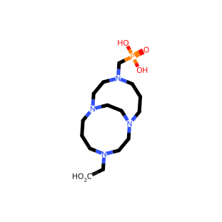 O=C(O)CN1CCCN2CCN(CCCN(CP(=O)(O)O)CC2)CC1